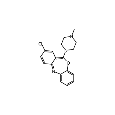 CN1CCN(C2=c3cc(Cl)ccc3=Nc3ccccc3O2)CC1